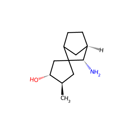 C[C@@H]1CC2(C[C@H]1O)C1CC[C@H](C1)[C@@H]2N